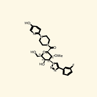 CO[C@@H]1[C@@H](n2cc(-c3cccc(F)c3)nn2)[C@@H](O)[C@@H](CO)O[C@H]1C(=O)N1CCN(c2ccc(O)cn2)CC1